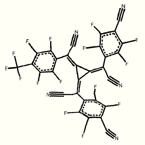 N#CC(=C1C(=C(/C#N)c2c(F)c(F)c(C#N)c(F)c2F)/C1=C(/C#N)c1c(F)c(F)c(C(F)(F)F)c(F)c1F)c1c(F)c(F)c(C#N)c(F)c1F